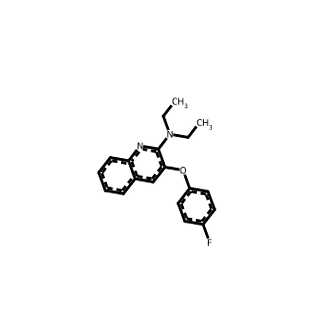 CCN(CC)c1nc2ccccc2cc1Oc1ccc(F)cc1